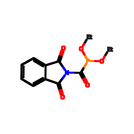 CCOP(OCC)C(=O)N1C(=O)c2ccccc2C1=O